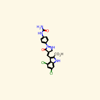 NC(=O)Nc1ccc(N2NCC(=Cc3c(C(=O)O)[nH]c4cc(Cl)cc(Cl)c34)C2=O)cc1